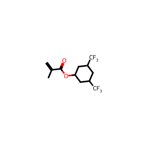 C=C(C)C(=O)OC1CC(C(F)(F)F)CC(C(F)(F)F)C1